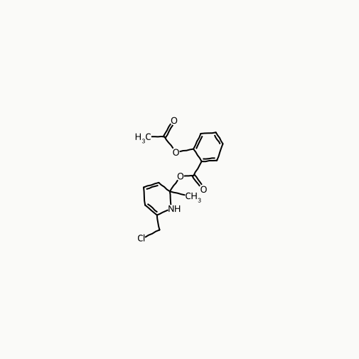 CC(=O)Oc1ccccc1C(=O)OC1(C)C=CC=C(CCl)N1